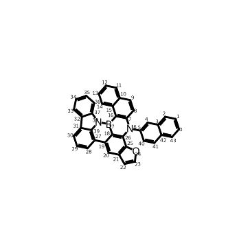 c1ccc2cc(N3c4ccc5ccccc5c4B4c5c(cc6ccoc6c53)-c3cccc5c6ccccc6n4c35)ccc2c1